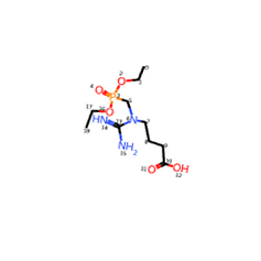 CCOP(=O)(CN(CCCC(=O)O)C(=N)N)OCC